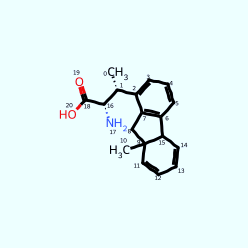 C[C@H](c1cccc2c1CC1(C)C=CC=CC21)[C@H](N)C(=O)O